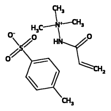 C=CC(=O)N[N+](C)(C)C.Cc1ccc(S(=O)(=O)[O-])cc1